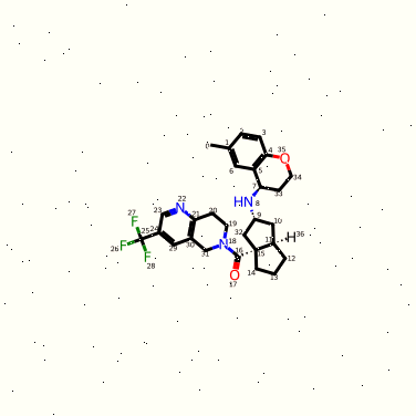 Cc1ccc2c(c1)[C@H](N[C@@H]1C[C@H]3CCC[C@@]3(C(=O)N3CCc4ncc(C(F)(F)F)cc4C3)C1)CCO2